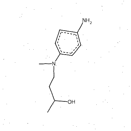 CC(O)CCN(C)c1ccc(N)cc1